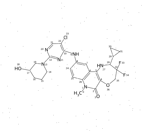 Cn1c(=O)c2c(c3cc(Nc4nc(N5CCCC(O)C5)ncc4Cl)ccc31)NC(C1CC1)C(F)(F)CO2